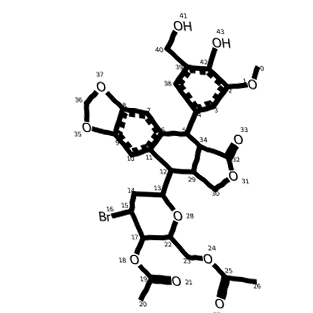 COc1cc(C2c3cc4c(cc3C(C3CC(Br)C(OC(C)=O)C(COC(C)=O)O3)C3COC(=O)C23)OCO4)cc(CO)c1O